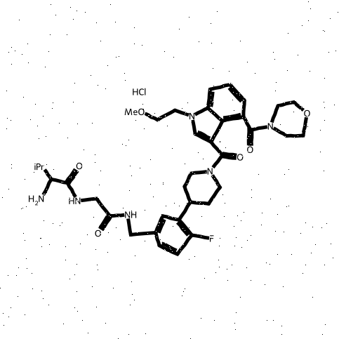 COCCn1cc(C(=O)N2CCC(c3cc(CNC(=O)CNC(=O)C(N)C(C)C)ccc3F)CC2)c2c(C(=O)N3CCOCC3)cccc21.Cl